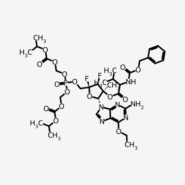 CCOc1nc(N)nc2c1ncn2[C@@H]1O[C@](F)(COP(=O)(OCOC(=O)OC(C)C)OCOC(=O)OC(C)C)[C@@H](F)[C@@]1(C)OC(=O)C(NC(=O)OCc1ccccc1)C(C)C